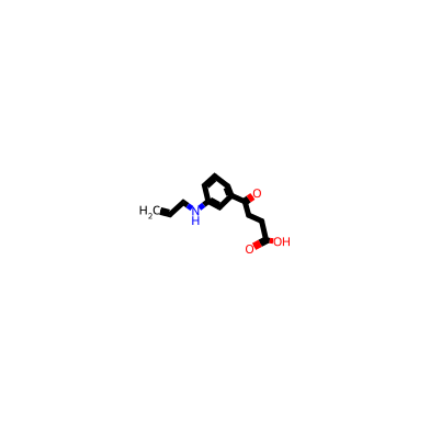 C=CCNc1cccc(C(=O)CCC(=O)O)c1